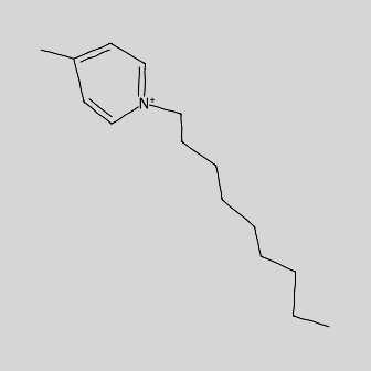 CCCCCCCCC[n+]1ccc(C)cc1